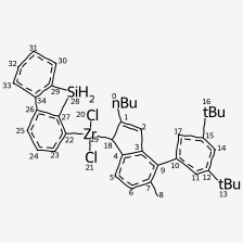 CCCCC1=Cc2c(ccc(C)c2-c2cc(C(C)(C)C)cc(C(C)(C)C)c2)[CH]1[Zr]([Cl])([Cl])[c]1cccc2c1[SiH2]c1ccccc1-2